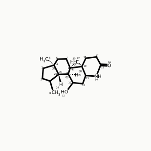 CC1CC[C@@]2(C)CC[C@@H]3[C@@H](C(O)CC4NC(=O)CC[C@@]43C)[C@H]12